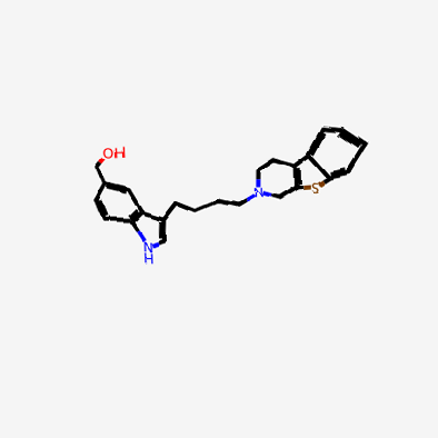 OCc1ccc2[nH]cc(CCCCN3CCc4c(sc5ccccc45)C3)c2c1